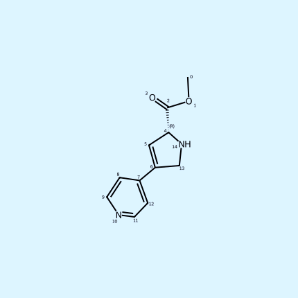 COC(=O)[C@H]1C=C(c2ccncc2)CN1